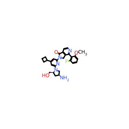 COc1cccc(F)c1-c1nccc2c1CN(c1cc(C3CCC3)cc(N3C[C@@H](N)C[C@H]3CO)n1)C2=O